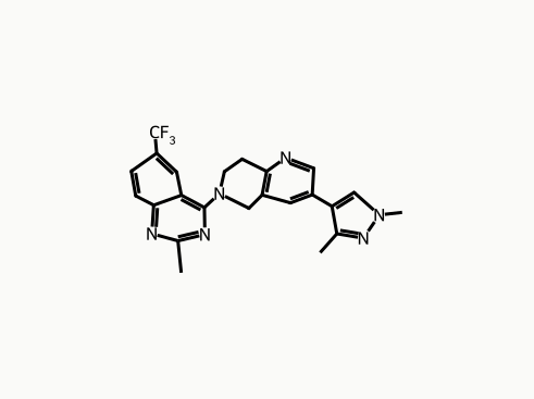 Cc1nc(N2CCc3ncc(-c4cn(C)nc4C)cc3C2)c2cc(C(F)(F)F)ccc2n1